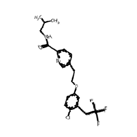 CC(C)CNC(=O)c1ccc(CCOc2ccc(Cl)c(CC(F)(F)F)c2)cn1